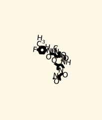 Cc1cc(NC(=O)c2c3c(cn2C)S(=O)(=O)NC2CN(C(=O)c4cocn4)CC2CO3)ccc1F